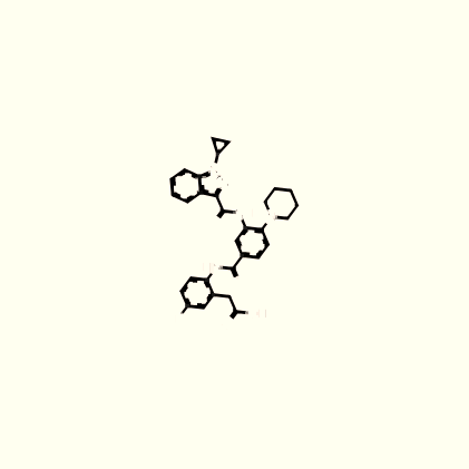 O=C(O)Cc1cc(F)ccc1NC(=O)c1ccc(N2CCCCC2)c(NC(=O)c2nn(C3CC3)c3ccccc23)c1